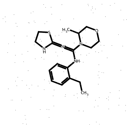 CCc1ccccc1NC(=[N+]=C1NCCS1)N1CCOCC1C